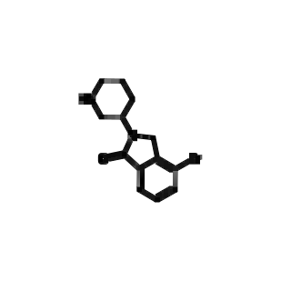 O=C1c2cccc(Br)c2CN1C1CCCNC1